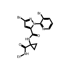 CCNC(=O)C1(NC(=O)c2cc(Br)nn2-c2ncccc2Br)CC1